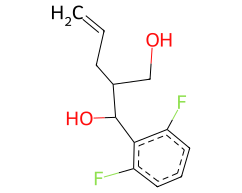 C=CCC(CO)C(O)c1c(F)cccc1F